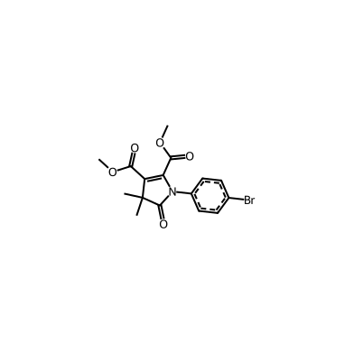 COC(=O)C1=C(C(=O)OC)C(C)(C)C(=O)N1c1ccc(Br)cc1